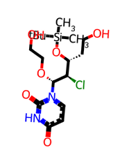 CC(C)(C)[Si](C)(C)O[C@H](CCO)[C@@H](Cl)[C@@H](OCCO)n1ccc(=O)[nH]c1=O